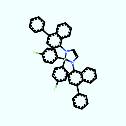 Fc1ccc([Si]2(c3ccc(F)cc3)N(c3ccc(-c4ccccc4)c4ccccc34)C=CN2c2ccc(-c3ccccc3)c3ccccc23)cc1